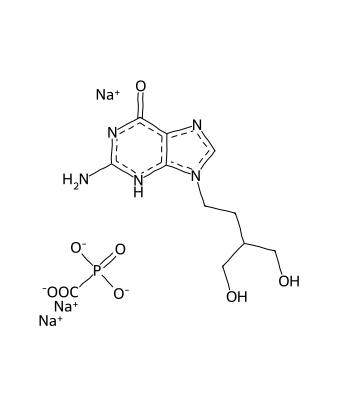 Nc1nc(=O)c2ncn(CCC(CO)CO)c2[nH]1.O=C([O-])P(=O)([O-])[O-].[Na+].[Na+].[Na+]